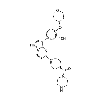 N#Cc1cc(-c2c[nH]c3ncc(C4=CCN(C(=O)N5CCNCC5)CC4)cc23)ccc1OC1CCOCC1